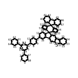 c1ccc(-c2cc(-c3ccc(-c4ccc5c(c4)-c4cc6sc7ccccc7c6cc4C54c5ccccc5C5(c6ccccc6-c6ccccc65)c5ccccc54)cc3)nc(-c3ccccc3)n2)cc1